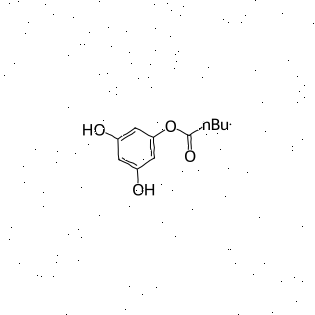 CCC[CH]C(=O)Oc1cc(O)cc(O)c1